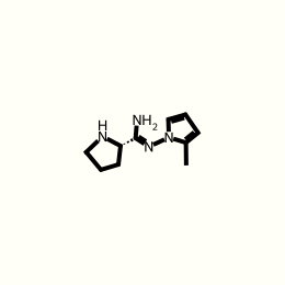 Cc1cccn1/N=C(\N)[C@@H]1CCCN1